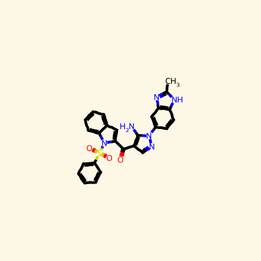 Cc1nc2cc(-n3ncc(C(=O)c4cc5ccccc5n4S(=O)(=O)c4ccccc4)c3N)ccc2[nH]1